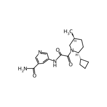 C[C@H]1CC[C@H](C2CCC2)N(C(=O)C(=O)Nc2cncc(C(N)=O)c2)C1